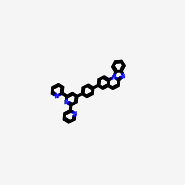 c1ccc(-c2cc(-c3ccc(-c4ccc5c(ccc6nc7ccccc7n65)c4)cc3)cc(-c3ccccn3)n2)nc1